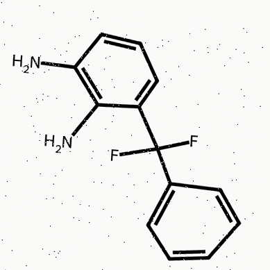 Nc1cccc(C(F)(F)c2ccccc2)c1N